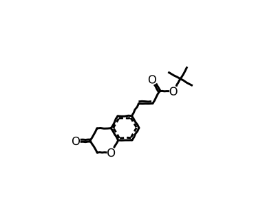 CC(C)(C)OC(=O)C=Cc1ccc2c(c1)CC(=O)CO2